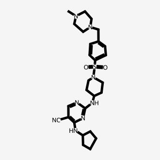 CN1CCN(Cc2ccc(S(=O)(=O)N3CCC(Nc4ncc(C#N)c(NC5CCCC5)n4)CC3)cc2)CC1